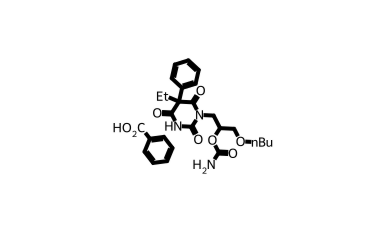 CCCCOCC(CN1C(=O)NC(=O)C(CC)(c2ccccc2)C1=O)OC(N)=O.O=C(O)c1ccccc1